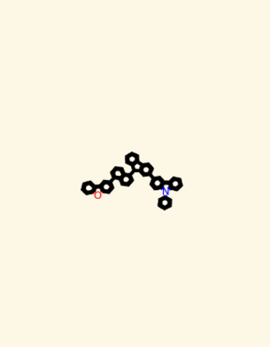 c1ccc(-n2c3ccccc3c3cc(-c4ccc5c(c4)C(c4cccc6c(-c7ccc8oc9ccccc9c8c7)cccc46)c4ccccc4-5)ccc32)cc1